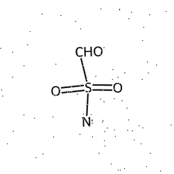 [N]S(=O)(=O)C=O